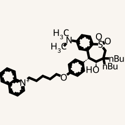 CCCCC1(CCCC)CS(=O)(=O)c2ccc(N(C)C)cc2[C@@H](c2ccc(OCCCCC[n+]3cccc4ccccc43)cc2)[C@H]1O